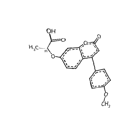 COc1ccc(-c2cc(=O)oc3cc(O[C@H](C)C(=O)O)ccc23)cc1